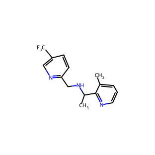 Cc1cccnc1C(C)NCc1ccc(C(F)(F)F)cn1